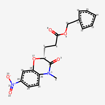 CN1C(=O)[C@@H](CCC(=O)OCc2ccccc2)Oc2cc([N+](=O)[O-])ccc21